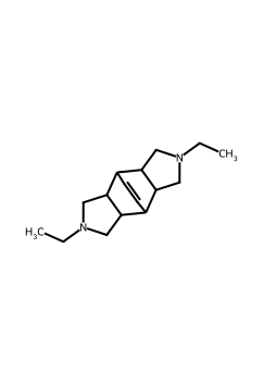 CCN1CC2C3C=CC(C2C1)C1CN(CC)CC31